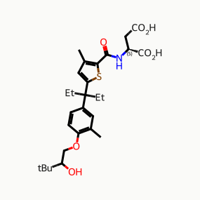 CCC(CC)(c1ccc(OCC(O)C(C)(C)C)c(C)c1)c1cc(C)c(C(=O)N[C@@H](CC(=O)O)C(=O)O)s1